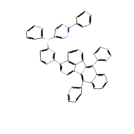 c1ccc(-c2ccc(N(c3ccccc3)c3cccc(-c4ccc5c6c(cccc46)-c4c-5c(-c5ccccc5)c5ccccc5c4-c4ccccc4)c3)cn2)cc1